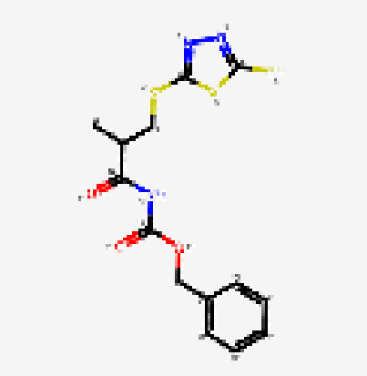 CC(CSc1nnc(S)s1)C(=O)NC(=O)OCc1ccccc1